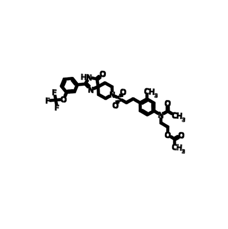 CC(=O)OCCN(C(C)=O)c1ccc(CCS(=O)(=O)N2CCC3(CC2)N=C(c2cccc(OC(F)(F)F)c2)NC3=O)c(C)c1